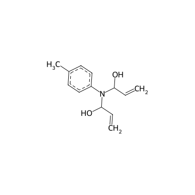 C=CC(O)N(c1ccc(C)cc1)C(O)C=C